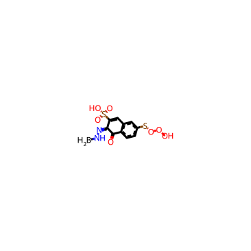 BN/N=C1\C(=O)c2ccc(SOOO)cc2C=C1S(=O)(=O)O